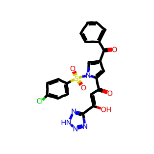 O=C(c1ccccc1)c1cc(C(=O)C=C(O)c2nn[nH]n2)n(S(=O)(=O)c2ccc(Cl)cc2)c1